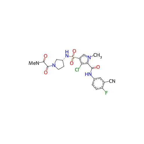 CNC(=O)C(=O)N1CC[C@@H](NS(=O)(=O)c2cn(C)c(C(=O)Nc3ccc(F)c(C#N)c3)c2Cl)C1